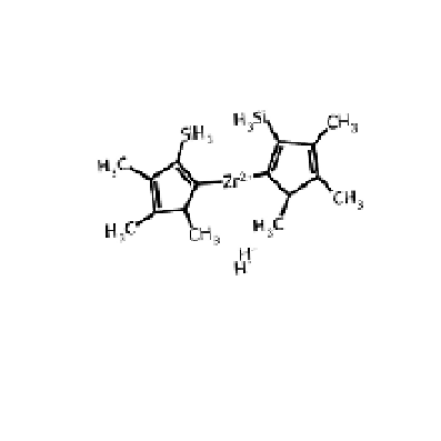 CC1=C(C)C(C)[C]([Zr+2][C]2=C([SiH3])C(C)=C(C)C2C)=C1[SiH3].[H-].[H-]